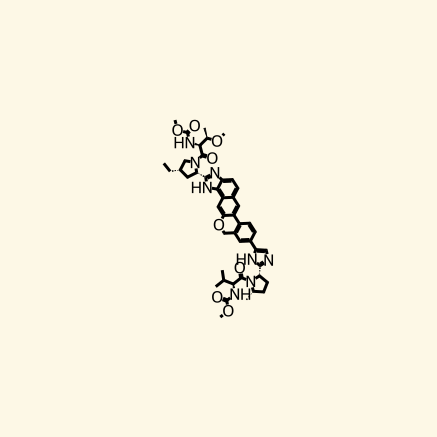 CC[C@H]1C[C@@H](c2nc3ccc4cc5c(cc4c3[nH]2)OCc2cc(-c3cnc([C@@H]4CC[C@H](C)N4C(=O)[C@@H](NC(=O)OC)C(C)C)[nH]3)ccc2-5)N(C(=O)[C@@H](NC(=O)OC)[C@@H](C)OC)C1